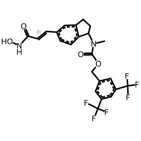 CN(C(=O)OCc1cc(C(F)(F)F)cc(C(F)(F)F)c1)C1CCc2cc(/C=C/C(=O)NO)ccc21